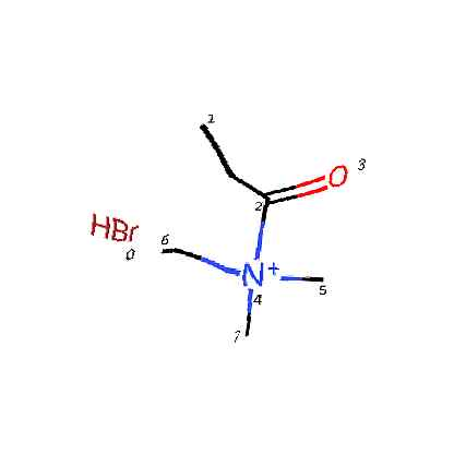 Br.CC(=O)[N+](C)(C)C